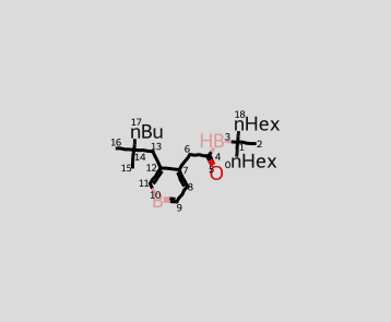 CCCCCCC(C)(BC(=O)Cc1ccbcc1CC(C)(C)CCCC)CCCCCC